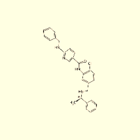 C[C@@H](NCc1ccc(Cl)c(NC(=O)c2ccc(NCc3ccccc3)nc2)c1)c1ccccc1